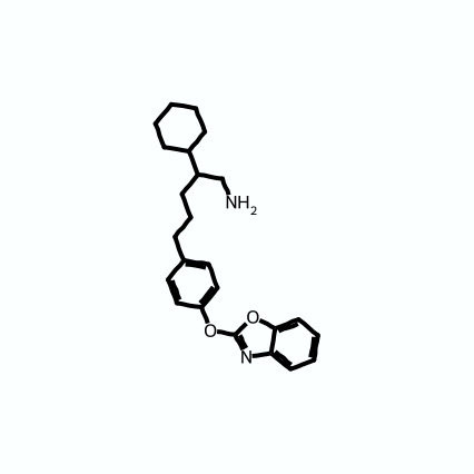 NCC(CCCc1ccc(Oc2nc3ccccc3o2)cc1)C1CCCCC1